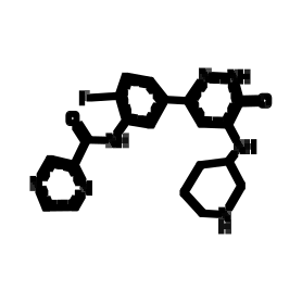 O=C(Nc1cc(-c2cc(NC3CCCNC3)c(=O)[nH]n2)ccc1F)c1cnccn1